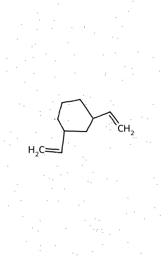 C=CC1[CH]CCC(C=C)C1